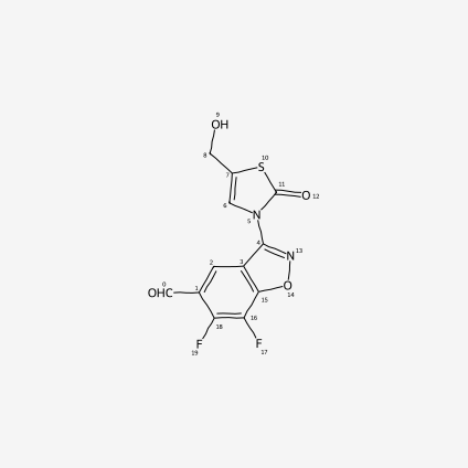 O=Cc1cc2c(-n3cc(CO)sc3=O)noc2c(F)c1F